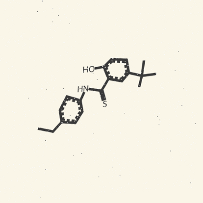 CCc1ccc(NC(=S)c2cc(C(C)(C)C)ccc2O)cc1